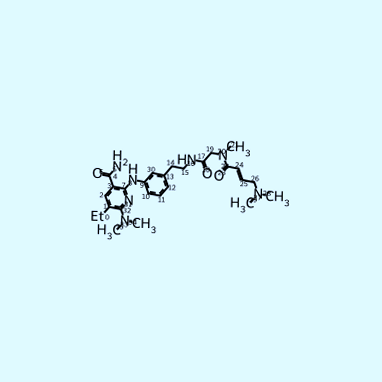 CCc1cc(C(N)=O)c(Nc2cccc(CCNC(=O)CN(C)C(=O)/C=C/CN(C)C)c2)nc1N(C)C